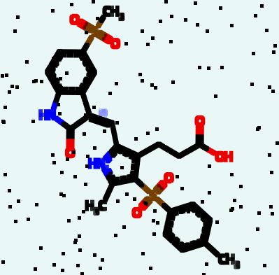 Cc1ccc(S(=O)(=O)c2c(C)[nH]c(/C=C3\C(=O)Nc4ccc(S(C)(=O)=O)cc43)c2CCC(=O)O)cc1